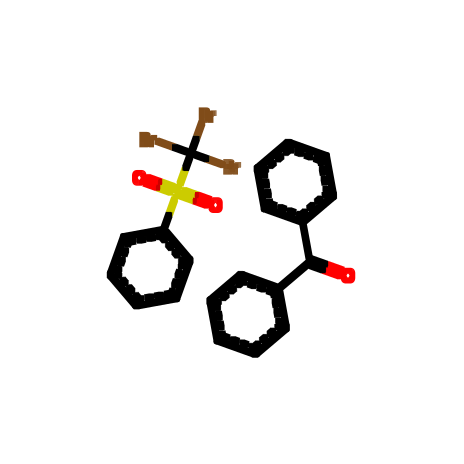 O=C(c1ccccc1)c1ccccc1.O=S(=O)(c1ccccc1)C(Br)(Br)Br